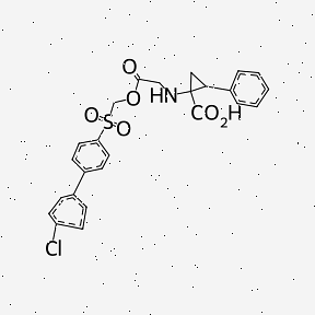 O=C(CNC1(C(=O)O)CC1c1ccccc1)OCS(=O)(=O)c1ccc(-c2ccc(Cl)cc2)cc1